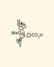 COc1cc(C)c2[nH]ccc2c1CN1CC[C@@H](n2cc(F)cn2)C[C@H]1c1ccc(C(=O)O)cc1